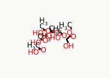 CC(=O)O.CC(=O)O.CC(=O)O.CC(=O)O.CC(=O)O.CCOC(=O)CCO